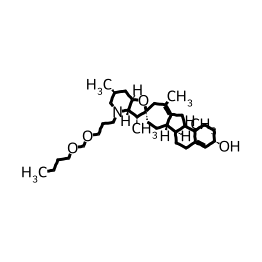 CCCCOCOCCCN1C[C@@H](C)C[C@H]2O[C@]3(CC[C@@H]4C(=C(C)C3)C[C@H]3[C@H]4CCC4=C[C@@H](O)CC[C@@]43C)[C@H](C)[C@@H]21